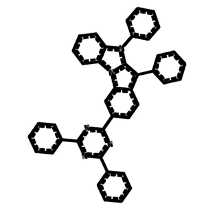 c1ccc(-c2nc(-c3ccccc3)nc(-c3ccc4c(-c5ccccc5)c5n(-c6ccccc6)c6ccccc6n5c4c3)n2)cc1